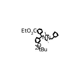 CCOC(=O)c1cccc([C@H](c2cccc(O[Si](C)(C)C(C)(C)C)c2)N2C[C@@H](C)N(Cc3ccccc3)C[C@@H]2C)c1